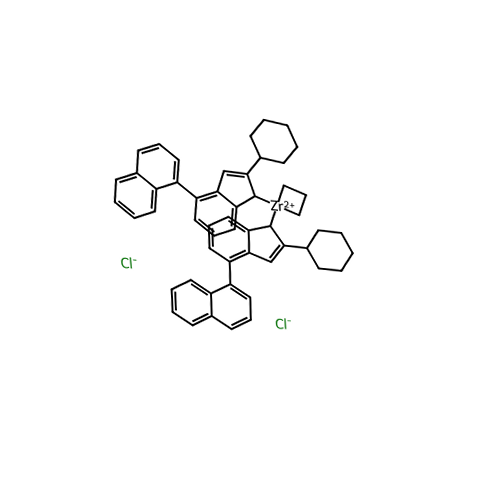 C1=C(C2CCCCC2)[CH]([Zr+2]2([CH]3C(C4CCCCC4)=Cc4c(-c5cccc6ccccc56)cccc43)[CH2]C[CH2]2)c2cccc(-c3cccc4ccccc34)c21.[Cl-].[Cl-]